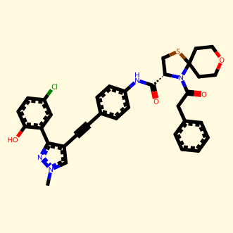 Cn1cc(C#Cc2ccc(NC(=O)[C@@H]3CSC4(CCOCC4)N3C(=O)Cc3ccccc3)cc2)c(-c2cc(Cl)ccc2O)n1